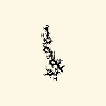 Cc1cnc(Nc2cc(C)n(C)n2)nc1-c1c[nH]c2c(NC(=O)CN3CCC(Oc4ccnc(NCC5CC5)n4)C3)cccc12